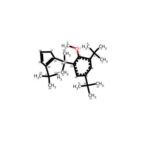 COc1c(C(C)(C)C)cc(C(C)(C)C)cc1[Si](C)(C)C1=C(C(C)(C)C)C=CC1